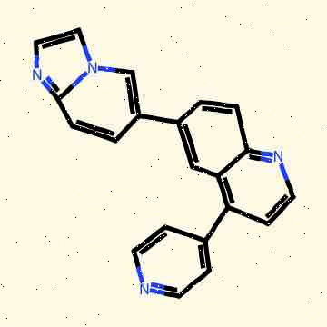 c1cc(-c2ccnc3ccc(-c4ccc5nccn5c4)cc23)ccn1